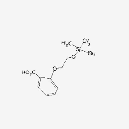 CC(C)(C)[Si](C)(C)OCCOc1ccccc1C(=O)O